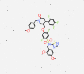 COc1ccc(CN2CC(COc3cc(F)c(S(=O)(=O)N(Cc4ccc(OC)cc4OC)c4ncns4)cc3F)C(c3cc(F)c(F)cc3F)CC2=O)cc1